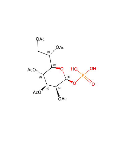 CC(=O)OC[C@H](OC(C)=O)[C@H]1O[C@@H](OP(=O)(O)O)[C@@H](OC(C)=O)[C@@H](OC(C)=O)[C@@H]1OC(C)=O